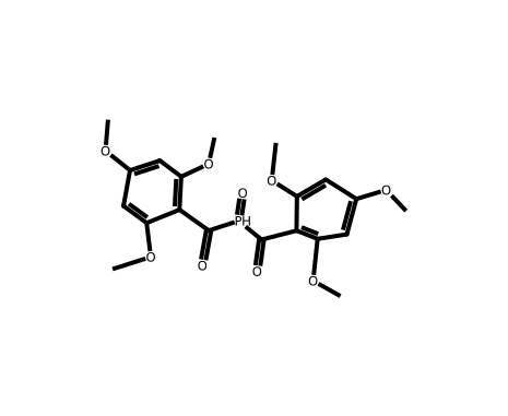 COc1cc(OC)c(C(=O)[PH](=O)C(=O)c2c(OC)cc(OC)cc2OC)c(OC)c1